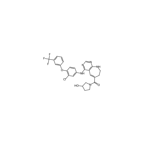 O=C(C1=Cc2c(ncnc2Nc2ccc(Oc3cccc(C(F)(F)F)c3)c(Cl)c2)NCC1)N1CCC(O)C1